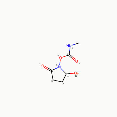 CNC(=O)ON1C(=O)CCC1O